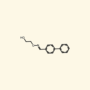 OCCON=Cc1ccc(-c2ccccc2)cc1